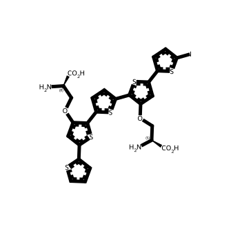 N[C@H](COc1cc(-c2cccs2)sc1-c1ccc(-c2sc(-c3ccc(I)s3)cc2OC[C@H](N)C(=O)O)s1)C(=O)O